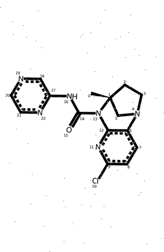 C[C@@]12CCN(C1)c1ccc(Cl)nc1N2C(=O)Nc1cnccn1